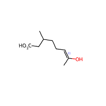 C/C(O)=C\CCC(C)CC(=O)O